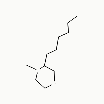 CCCCCCC1COCCN1C